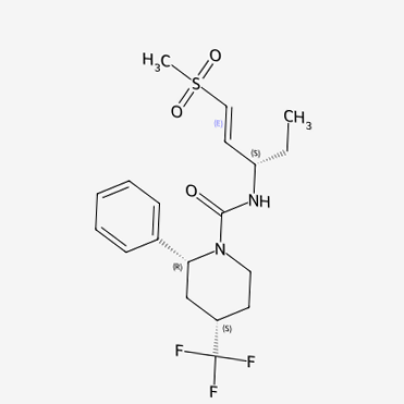 CC[C@@H](/C=C/S(C)(=O)=O)NC(=O)N1CC[C@H](C(F)(F)F)C[C@@H]1c1ccccc1